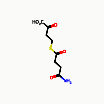 NC(=O)CCC(=O)SCCC(=O)C(=O)O